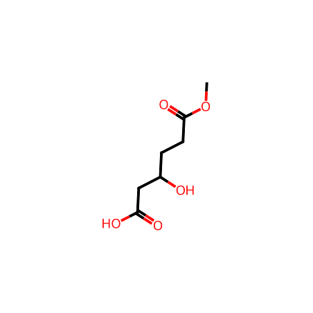 COC(=O)CCC(O)CC(=O)O